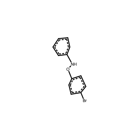 Brc1ccc(ONc2ccccc2)cc1